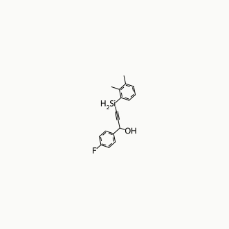 Cc1cccc([SiH2]C#CC(O)c2ccc(F)cc2)c1C